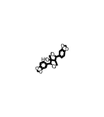 OC12COC(c3ccc4c(c3)OCO4)C1COC2c1ccc2c(c1)OCO2